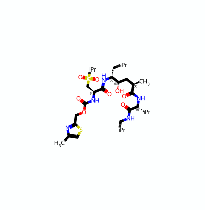 Cc1csc(COC(=O)N[C@@H](CS(=O)(=O)C(C)C)C(=O)N[C@H](CC(C)C)[C@@H](O)C[C@@H](C)C(=O)N[C@@H](C(=O)NCC(C)C)C(C)C)n1